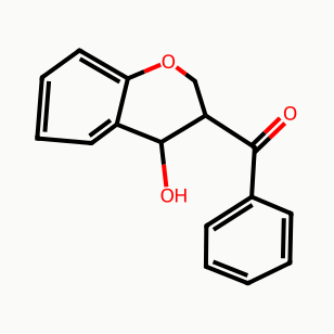 O=C(c1ccccc1)C1COc2ccccc2C1O